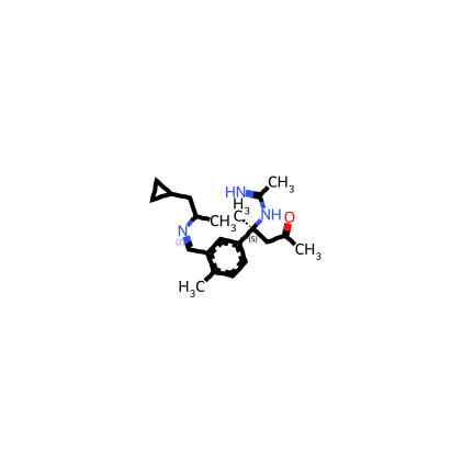 CC(=N)N[C@@](C)(CC(C)=O)c1ccc(C)c(/C=N\C(C)CC2CC2)c1